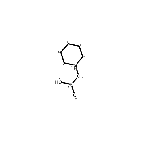 OB(O)O[SiH]1CCCCC1